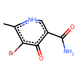 Cc1[nH]cc(C(N)=O)c(=O)c1Br